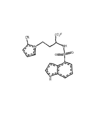 N#Cc1cccn1CCC(NS(=O)(=O)c1cccc2[nH]ccc12)C(=O)O